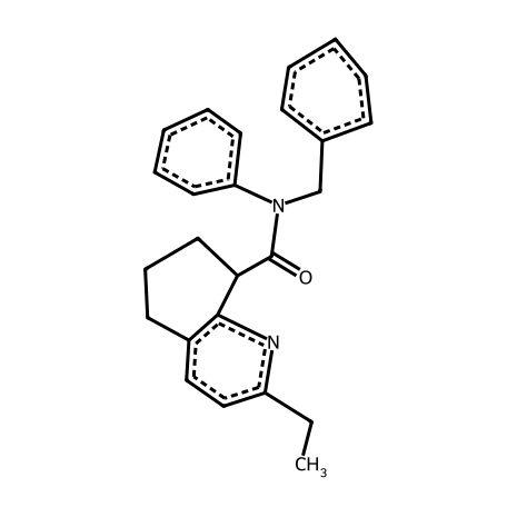 CCc1ccc2c(n1)C(C(=O)N(Cc1ccccc1)c1ccccc1)CCC2